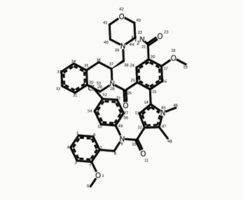 COc1ccccc1CN(C(=O)c1cc(-c2cc(OC)c(C(N)=O)cc2C(=O)N2Cc3ccccc3C[C@H]2CN2CCOCC2)n(C)c1C)c1ccc(Cl)cc1